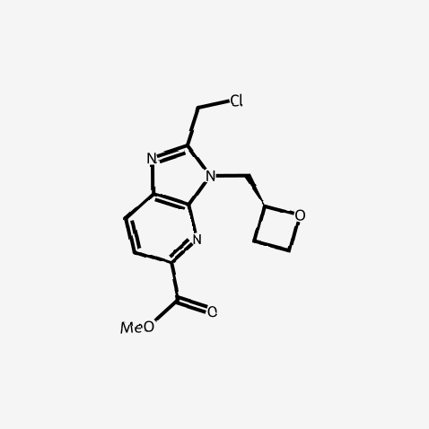 COC(=O)c1ccc2nc(CCl)n(C[C@@H]3CCO3)c2n1